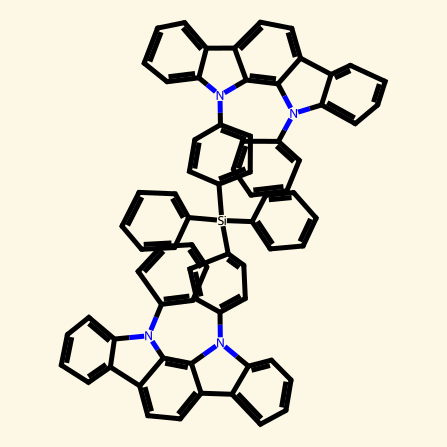 c1ccc(-n2c3ccccc3c3ccc4c5ccccc5n(-c5ccc([Si](c6ccccc6)(c6ccccc6)c6ccc(-n7c8ccccc8c8ccc9c%10ccccc%10n(-c%10ccccc%10)c9c87)cc6)cc5)c4c32)cc1